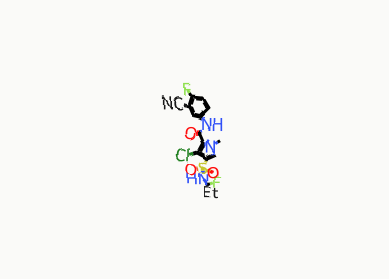 CCC(F)NS(=O)(=O)c1cn(C)c(C(=O)Nc2ccc(F)c(C#N)c2)c1Cl